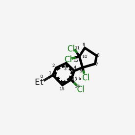 CCc1ccc(C2(Cl)CCCC2(Cl)Cl)c(Cl)c1